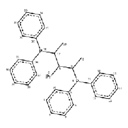 CC(C)C(C(C)P(c1ccccc1)c1ccccc1)C(C)P(c1ccccc1)c1ccccc1